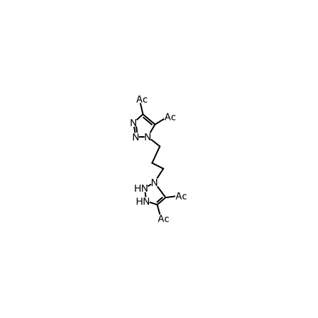 CC(=O)C1=C(C(C)=O)N(CCCn2nnc(C(C)=O)c2C(C)=O)NN1